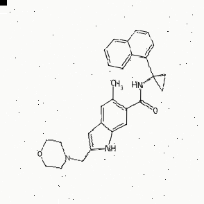 Cc1cc2cc(CN3CCOCC3)[nH]c2cc1C(=O)NC1(c2cccc3ccccc23)CC1